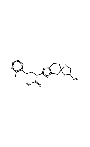 CC(=O)N(CCc1ccccc1F)c1cc2c(s1)CC1(CC2)OCC(C)O1